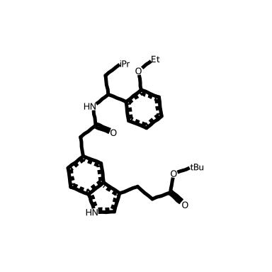 CCOc1ccccc1C(CC(C)C)NC(=O)Cc1ccc2[nH]cc(CCC(=O)OC(C)(C)C)c2c1